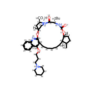 CC1CC[C@H]2OC(=O)N[C@@H](C(C)(C)C)C(=O)N3C[C@@H](C[C@H]3C(=O)O)Oc3nc4ccccc4c(OCCCN4CCCCC4)c3CCCCC[C@H]12